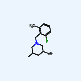 CCCC1CC(C)CN(Cc2c(F)cccc2C(F)(F)F)C1